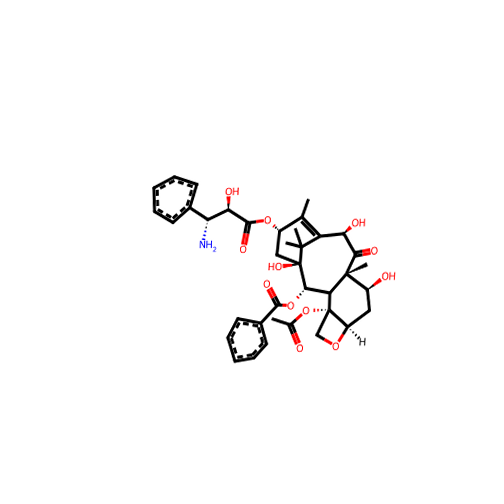 CC(=O)O[C@@]12CO[C@@H]1C[C@H](O)[C@@]1(C)C(=O)[C@H](O)C3=C(C)[C@@H](OC(=O)[C@H](O)[C@H](N)c4ccccc4)C[C@@](O)([C@@H](OC(=O)c4ccccc4)C12)C3(C)C